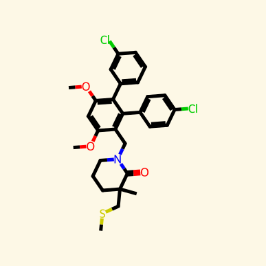 COc1cc(OC)c(-c2cccc(Cl)c2)c(-c2ccc(Cl)cc2)c1CN1CCCC(C)(CSC)C1=O